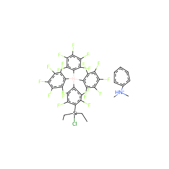 CC[Si](Cl)(CC)c1c(F)c(F)c([B-](c2c(F)c(F)c(F)c(F)c2F)(c2c(F)c(F)c(F)c(F)c2F)c2c(F)c(F)c(F)c(F)c2F)c(F)c1F.C[NH+](C)c1ccccc1